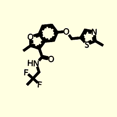 Cc1ncc(COc2ccc3oc(C)c(C(=O)NCC(C)(F)F)c3c2)s1